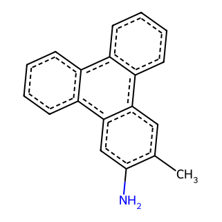 Cc1cc2c3ccccc3c3ccccc3c2cc1N